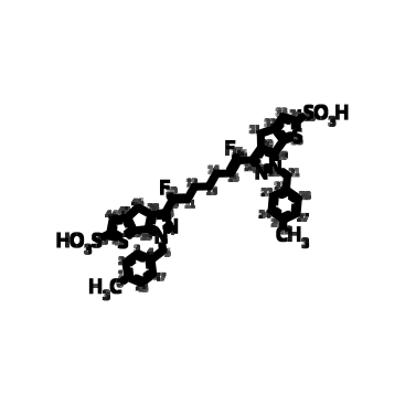 Cc1ccc(Cn2nc(/C(F)=C/CCC/C=C(\F)c3nn(Cc4ccc(C)cc4)c4c3Cc3cc(S(=O)(=O)O)sc3-4)c3c2-c2sc(S(=O)(=O)O)cc2C3)cc1